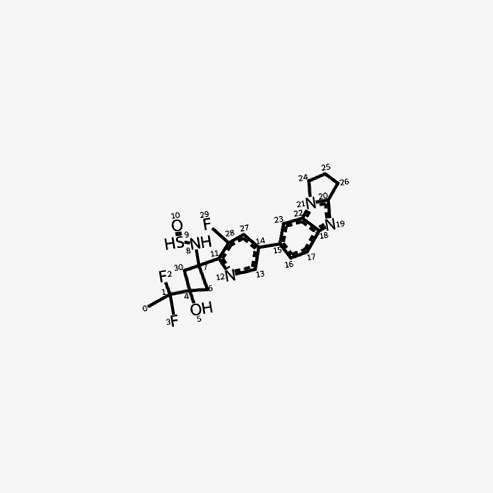 CC(F)(F)C1(O)CC(N[SH]=O)(c2ncc(-c3ccc4nc5n(c4c3)CCC5)cc2F)C1